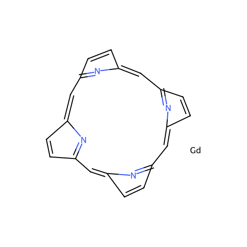 C1=CC2=NC1=CC1=NC(=CC3=NC(=CC4=NC(=C2)C=C4)C=C3)C=C1.[Gd]